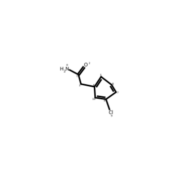 NC(=O)Cc1c[c]cc(Cl)c1